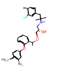 Cc1ccc(CC(C)(C)NC[C@H](O)COC(C)c2ccccc2Oc2ccc(C(=O)O)c([N+](=O)[O-])c2)cc1F